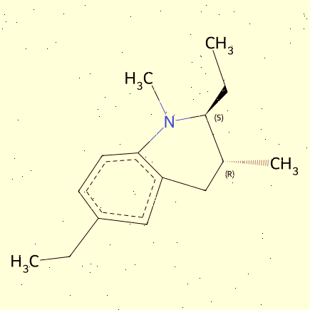 CCc1ccc2c(c1)C[C@@H](C)[C@H](CC)N2C